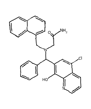 NC(=O)CN(Cc1cccc2ccccc12)C(c1ccccc1)c1cc(Cl)c2cccnc2c1O